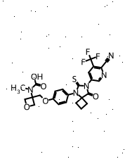 CN(C(=O)O)C1(COc2ccc(N3C(=S)N(c4cnc(C#N)c(C(F)(F)F)c4)C(=O)C34CCC4)cc2)COC1